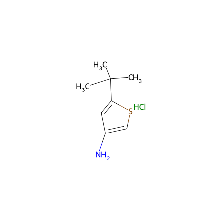 CC(C)(C)c1cc(N)cs1.Cl